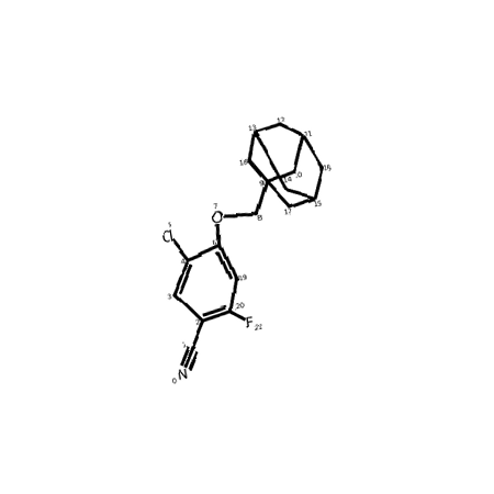 N#Cc1cc(Cl)c(OCC23CC4CC(CC(C4)C2)C3)cc1F